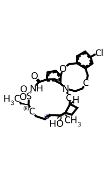 CC[C@@H]1CC/C=C/[C@@H](O)[C@]2(C)CC[C@H]2CN2CCCCc3cc(Cl)ccc3COc3ccc(cc32)C(=O)NS1(=O)=O